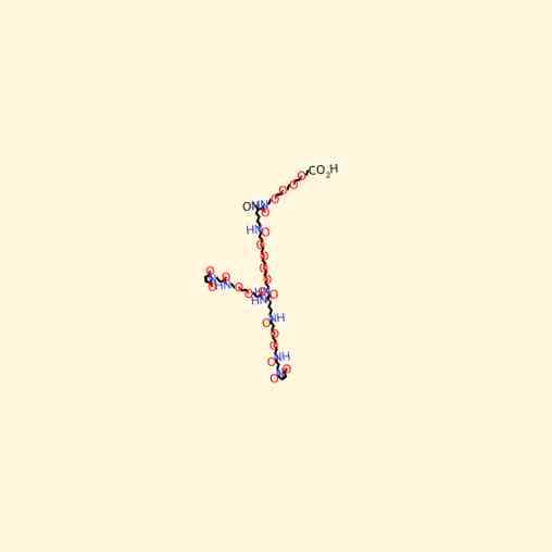 O=NC(CCCCNC(=O)CCOCCOCCOCCOCCNC(=O)[C@@H](CCCCNC(=O)CCOCCOCCNC(=O)CCN1C(=O)C=CC1=O)NC(=O)CCOCCOCCNC(=O)CCN1C(=O)C=CC1=O)C(=O)NCCOCCOCCOCCOCCC(=O)O